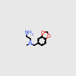 CN(CCN)Cc1ccc2c(c1)OCO2